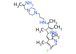 C=C(N)CN1CCN(CCCNC(=C)C2=C(C)NC(\C=C3C(=C)\N=C/C=C(F)/C=C/3C)C2C)CC1